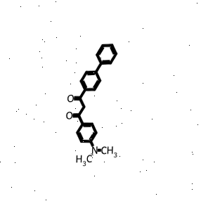 CN(C)c1ccc(C(=O)CC(=O)c2ccc(-c3ccccc3)cc2)cc1